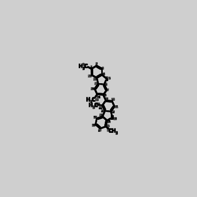 Cc1ccc2sc3cc(-c4ccc5sc6c(C)cccc6c5c4C)c(C)cc3c2c1